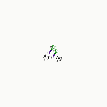 BrI.BrI.[Ag].[Ag]